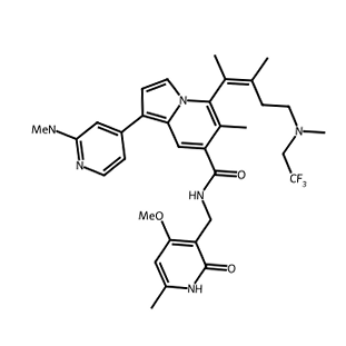 CNc1cc(-c2ccn3c(/C(C)=C(/C)CCN(C)CC(F)(F)F)c(C)c(C(=O)NCc4c(OC)cc(C)[nH]c4=O)cc23)ccn1